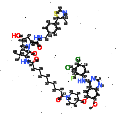 COc1cc2ncnc(Nc3ccc(Cl)c(Cl)c3F)c2cc1OC1CCN(C(=O)CCCCCCCCC(=O)NC(C(=O)N2C[C@H](O)C[C@H]2C(=O)NCc2ccc(-c3scnc3C)cc2)C(C)(C)C)CC1